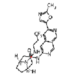 Cc1ncc(-c2cc3cc(NC(=O)N4[C@@H]5CC[C@H]4C[C@@H](NCCC(F)(F)F)C5)ncc3cn2)o1